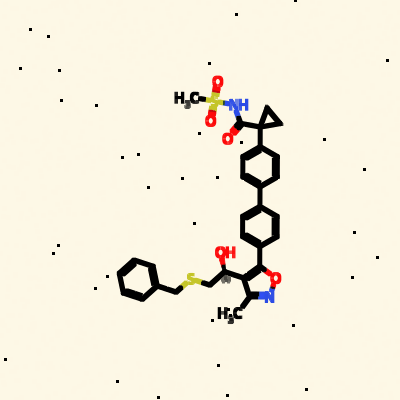 Cc1noc(-c2ccc(-c3ccc(C4(C(=O)NS(C)(=O)=O)CC4)cc3)cc2)c1[C@H](O)CSCc1ccccc1